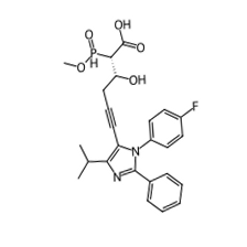 CO[PH](=O)[C@H](C(=O)O)C(O)CC#Cc1c(C(C)C)nc(-c2ccccc2)n1-c1ccc(F)cc1